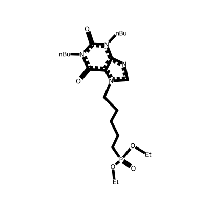 CCCCn1c(=O)c2c(ncn2CCCCCP(=O)(OCC)OCC)n(CCCC)c1=O